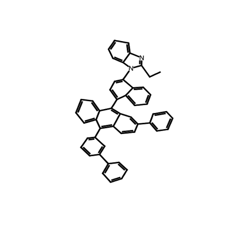 CCc1nc2ccccc2n1-c1ccc(-c2c3ccccc3c(-c3cccc(-c4ccccc4)c3)c3ccc(-c4ccccc4)cc23)c2ccccc12